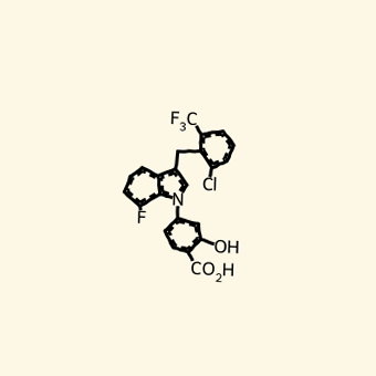 O=C(O)c1ccc(-n2cc(Cc3c(Cl)cccc3C(F)(F)F)c3cccc(F)c32)cc1O